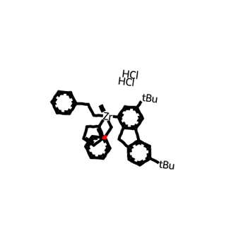 Cl.Cl.[CH2]=[Zr]([CH2]Cc1ccccc1)([CH2]c1ccccc1)([C]1=CC=CC1)[c]1cc(C(C)(C)C)cc2c1Cc1ccc(C(C)(C)C)cc1-2